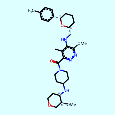 COc1nnc(C(=O)N2CCC(N[C@@H]3CCOC[C@@H]3OC)CC2)c(C)c1NC[C@H]1CCC[C@@H](c2ccc(C(F)(F)F)cc2)O1